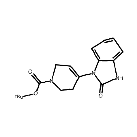 CC(C)(C)OC(=O)N1CC=C(n2c(=O)[nH]c3ccccc32)CC1